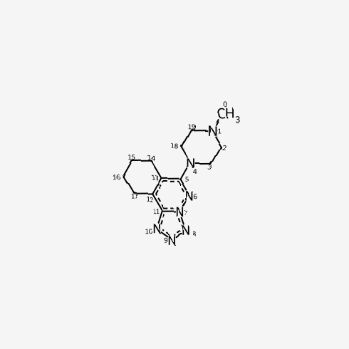 CN1CCN(c2nn3nnnc3c3c2CCCC3)CC1